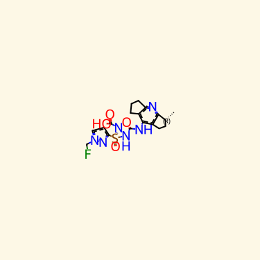 C[C@@H]1CCc2c1nc1c(c2NC(=O)NS(=O)(=NC(=O)O)c2ccn(CF)n2)CCC1